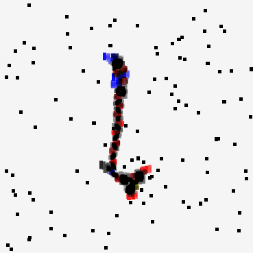 CCN(CCOCCOCCOCCOCCOCCOCCOCCOc1cccc(NC(=O)NNS(=O)(=O)c2ccc(N)cc2)c1)CCOc1ccc(C(=O)c2c(-c3ccc(O)cc3)sc3cc(O)ccc23)cc1